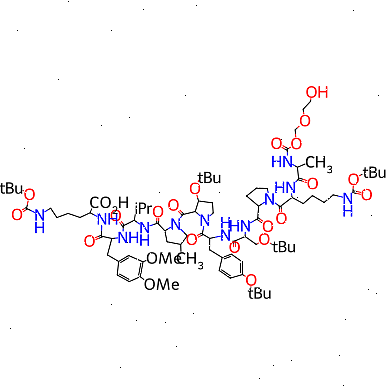 COc1ccc(CC(NC(=O)C(NC(=O)C2CC(C)CN2C(=O)C2C(OC(C)(C)C)CCN2C(=O)C(Cc2ccc(OC(C)(C)C)cc2)NC(=O)C(COC(C)(C)C)NC(=O)C2CCCN2C(=O)C(CCCCNC(=O)OC(C)(C)C)NC(=O)C(C)NC(=O)OCOCCO)C(C)C)C(=O)NC(CCCCNC(=O)OC(C)(C)C)C(=O)O)cc1OC